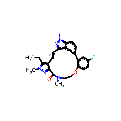 CCc1c2c(nn1C)C(=O)N(C)CCOc1ccc(F)cc1-c1ccc3[nH]nc(c3c1)/C=C/2